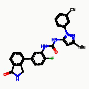 CCCCc1cc(NC(=O)Nc2cc(-c3cccc4c3CNC4=O)ccc2F)n(-c2cccc(C#N)c2)n1